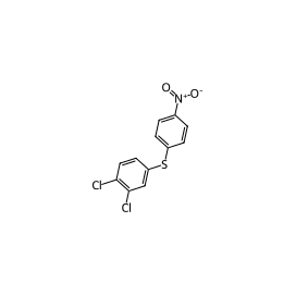 O=[N+]([O-])c1ccc(Sc2ccc(Cl)c(Cl)c2)cc1